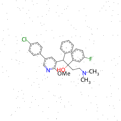 COc1ncc(-c2ccc(Cl)cc2)cc1C(c1ccccc1)C(O)(CCN(C)C)c1cccc(F)c1